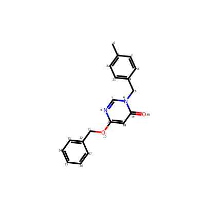 Cc1ccc(Cn2cnc(OCc3ccccc3)cc2=O)cc1